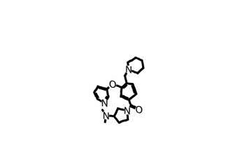 CN(C)C1CCN(C(=O)c2ccc(CN3CCCCC3)c(Oc3cccnc3)c2)C1